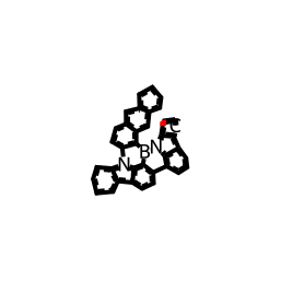 c1ccc2cc3c4c(ccc3cc2c1)-n1c2ccccc2c2ccc3c(c21)B4n1c2ccccc2c2cccc-3c21